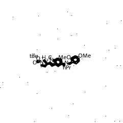 CCC/C(=N\Cc1ccc(OC)cc1OC)c1ccc2c(c1)cc(C1CCN(C(=O)OC(C)(C)C)C1)n2C